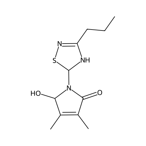 CCCC1=NSC(N2C(=O)C(C)=C(C)C2O)N1